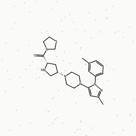 Cc1cccc(-n2nc(C)cc2N2CCN([C@@H]3CN[C@H](C(=O)N4CCSC4)C3)CC2)c1